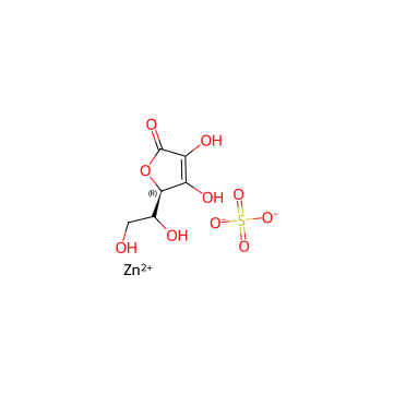 O=C1O[C@H](C(O)CO)C(O)=C1O.O=S(=O)([O-])[O-].[Zn+2]